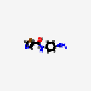 N[C@H]1CC[C@H](NC(=O)c2cncs2)CC1